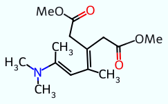 COC(=O)CC(CC(=O)OC)=C(C)/C=C(\C)N(C)C